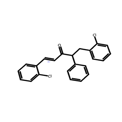 O=C(/C=C/c1ccccc1Cl)C(Cc1ccccc1Cl)c1ccccc1